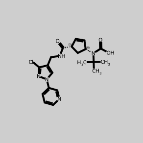 CC(C)(C)N(C(=O)O)[C@H]1C=C[C@@H](C(=O)NCc2cn(-c3cccnc3)nc2Cl)C1